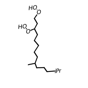 CC(C)CCCC(C)CCCCCC(CCOO)OO